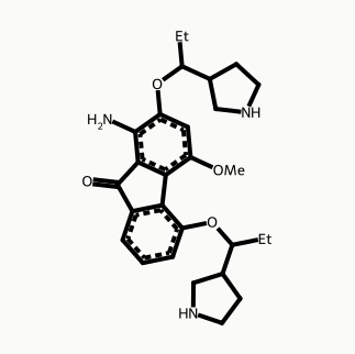 CCC(Oc1cc(OC)c2c(c1N)C(=O)c1cccc(OC(CC)C3CCNC3)c1-2)C1CCNC1